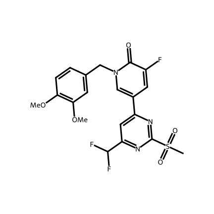 COc1ccc(Cn2cc(-c3cc(C(F)F)nc(S(C)(=O)=O)n3)cc(F)c2=O)cc1OC